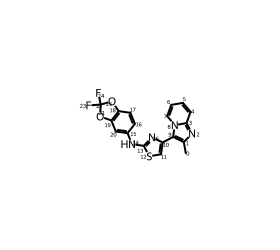 Cc1nc2ccccn2c1-c1csc(Nc2ccc3c(c2)OC(F)(F)O3)n1